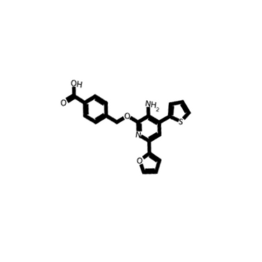 Nc1c(-c2cccs2)cc(-c2ccco2)nc1OCc1ccc(C(=O)O)cc1